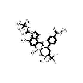 COC(=O)c1ccc(C2CC(C(F)(F)F)N(C)CCN2Cc2c(OC)cc(C)c3c2ccn3C(=O)OC(C)(C)C)cc1